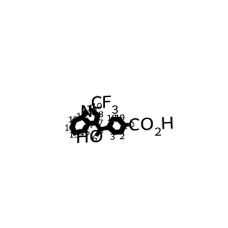 O=C(O)c1ccc(C(O)c2cc(C(F)(F)F)nc3ccccc23)cc1